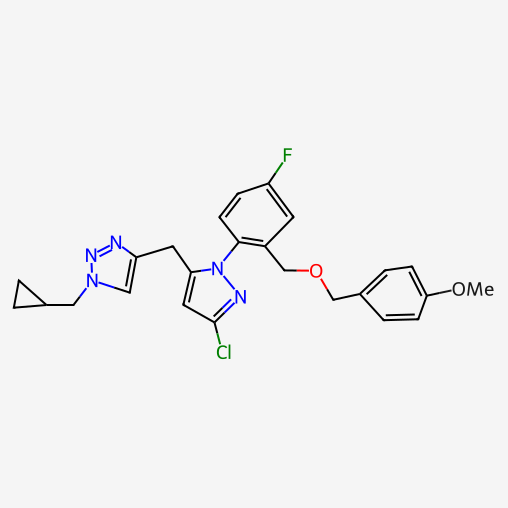 COc1ccc(COCc2cc(F)ccc2-n2nc(Cl)cc2Cc2cn(CC3CC3)nn2)cc1